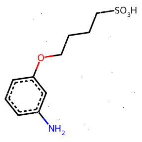 Nc1cccc(OCCCCS(=O)(=O)O)c1